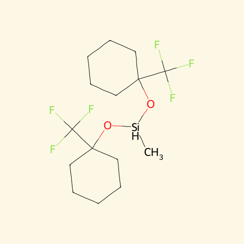 C[SiH](OC1(C(F)(F)F)CCCCC1)OC1(C(F)(F)F)CCCCC1